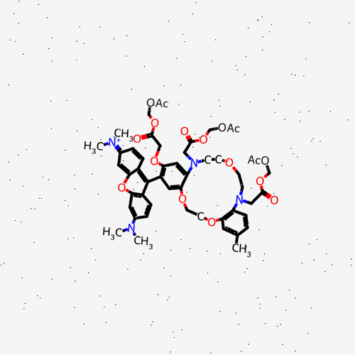 CC(=O)OCOC(=O)COc1cc2c(cc1-c1c3ccc(=[N+](C)C)cc-3oc3cc(N(C)C)ccc13)OCCOc1cc(C)ccc1N(CC(=O)OCOC(C)=O)CCOCCN2CC(=O)OCOC(C)=O